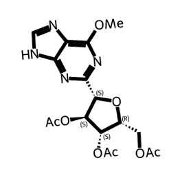 COc1nc([C@@H]2O[C@H](COC(C)=O)[C@H](OC(C)=O)[C@H]2OC(C)=O)nc2[nH]cnc12